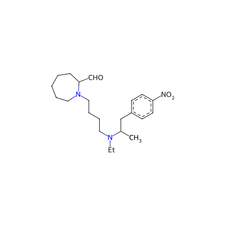 CCN(CCCCN1CCCCCC1C=O)C(C)Cc1ccc([N+](=O)[O-])cc1